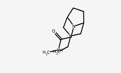 CCN1CC2CCC(C1)N2CC(=O)NC